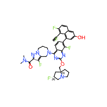 C#Cc1c(F)ccc2cc(O)cc(-c3c(F)cc4c(N5CCCn6nc(C(=O)N(C)C)c(F)c6C5)nc(OC[C@@]56CCCN5C[C@H](F)C6)nc4c3F)c12